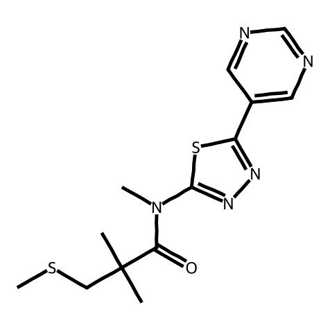 CSCC(C)(C)C(=O)N(C)c1nnc(-c2cncnc2)s1